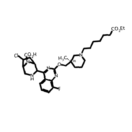 CCOC(=O)CCCCCCN1CCC[C@@](C)(COc2nc(C3NCC4C(Cl)CC3N4C(=O)O)c3cccc(F)c3n2)C1